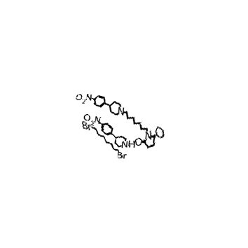 BrCCCCCCCBr.O=C1CCC(=O)N1CCCCCCCN1CCC(c2ccc([N+](=O)[O-])cc2)CC1.O=[N+]([O-])c1ccc(C2CCNCC2)cc1